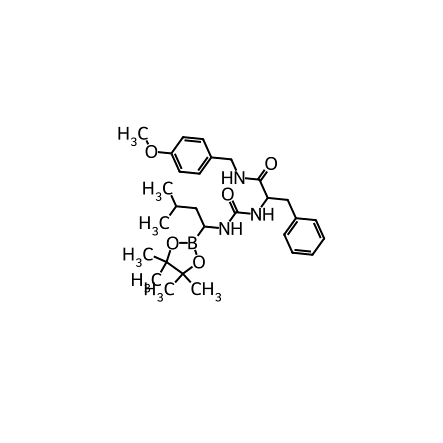 COc1ccc(CNC(=O)C(Cc2ccccc2)NC(=O)NC(CC(C)C)B2OC(C)(C)C(C)(C)O2)cc1